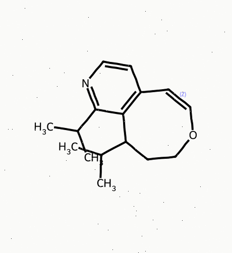 CC(C)c1nccc2c1C(C(C)C)CCO/C=C\2